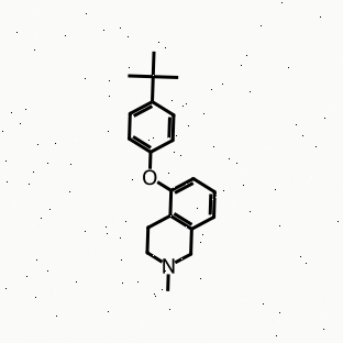 CN1CCc2c(cccc2Oc2ccc(C(C)(C)C)cc2)C1